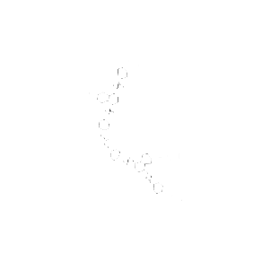 O=C(Nc1ccc(N=Nc2ccc(N=Nc3ccc(S(=O)(=O)O)cc3)c3cc(S(=O)(=O)O)ccc23)cc1)Nc1ccc(N=Nc2ccc(N=Nc3ccc(S(=O)(=O)O)cc3)c3cc(S(=O)(=O)O)ccc23)cc1